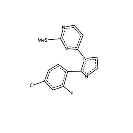 CSc1nccc(-n2ccnc2-c2ccc(Cl)cc2F)n1